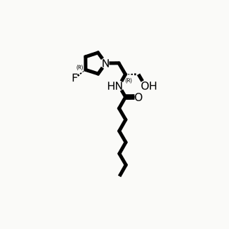 CCCCCCCC(=O)N[C@@H](CO)CN1CC[C@@H](F)C1